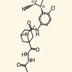 CC(=O)NNC(=O)C12CC(C)CC(C1)N2C(=O)Nc1ccc(Cl)c([C@@H]2CC[C@@H]2C#N)c1